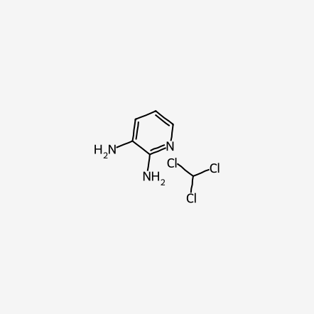 ClC(Cl)Cl.Nc1cccnc1N